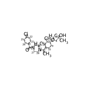 Cc1c(OCC(C)(C)O)ccc(C(C)N2CCN(C(=O)c3ccc(Cl)cc3)CC2)c1C